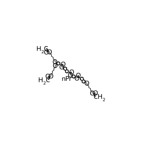 C=CC(=O)OCCCCCCOc1ccc2cc(C(=O)Oc3ccc(OC(=O)c4ccc5cc(OC(=O)c6ccc(OCCCCCCOC(=O)C=C)c(OCCCCCCOC(=O)C=C)c6)ccc5c4)c(CCC)c3)ccc2c1